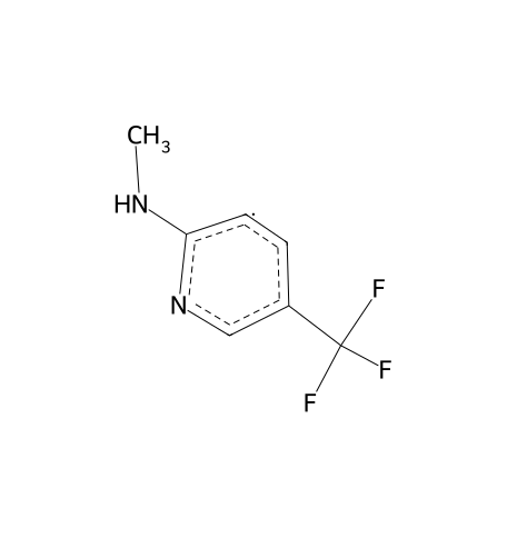 CNc1[c]cc(C(F)(F)F)cn1